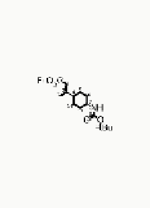 CCOC(=O)/C=C(\C)[C@H]1CC[C@H](NC(=O)OC(C)(C)C)CC1